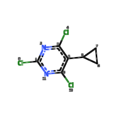 Clc1nc(Cl)c(C2CC2)c(Cl)n1